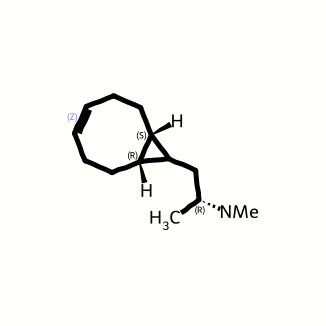 CN[C@H](C)CC1[C@H]2CC/C=C\CC[C@@H]12